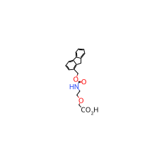 O=C(O)COCCNC(=O)OCc1cccc2c1Cc1ccccc1-2